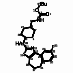 CC(C)(C)OC(=O)NCC1CCC([AsH]c2nc3c(s2)CCCc2ccc(F)cc2-3)CC1